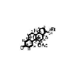 CCSC1=CC[C@H]2[C@@H]3CCC4=CC(=O)C=C[C@]4(C)[C@@]3(F)[C@@H](OC(C)=O)C[C@]12C